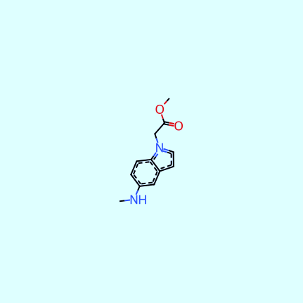 CNc1ccc2c(ccn2CC(=O)OC)c1